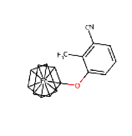 N#Cc1cccc(O[C]23[CH]4[CH]5[CH]6[CH]2[Fe]56432789[CH]3[CH]2[CH]7[CH]8[CH]39)c1C(F)(F)F